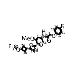 CO[C@@H]1C[C@@H](NC(=O)COc2ccc(F)cc2)CO[C@@H]1c1nnc([C@H]2C[C@@H](OC(F)(F)F)C2)o1